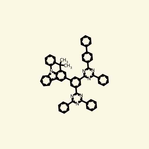 CC1(C)c2ccccc2-n2c3ccccc3c3cc(-c4cc(-c5nc(-c6ccccc6)nc(-c6ccccc6)n5)cc(-c5nc(-c6ccccc6)nc(-c6ccc(-c7ccccc7)cc6)n5)c4)cc1c32